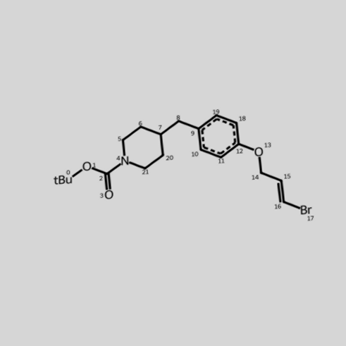 CC(C)(C)OC(=O)N1CCC(Cc2ccc(OC/C=C/Br)cc2)CC1